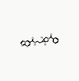 O=C(NCCC1[C@H]2CN(C(=O)c3ccccc3)C[C@@H]12)c1cnc2nccn2c1